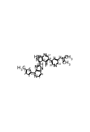 Cc1ccc(-c2nccc3[nH]c(-c4n[nH]c5ncc(-c6cncc(CN(C)C)c6)c(F)c45)nc23)s1